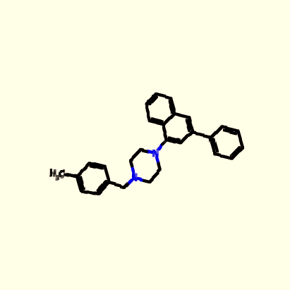 Cc1ccc(CN2CCN(c3cc(-c4ccccc4)cc4ccccc34)CC2)cc1